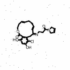 O=C1OCC/C=C/CC/C=C/C(=N\CCC(=O)N2CC=CC2)Cc2c(Cl)c(O)cc(O)c21